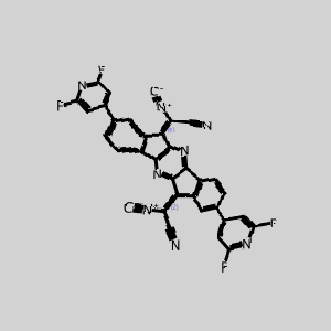 [C-]#[N+]/C(C#N)=C1/c2cc(-c3cc(F)nc(F)c3)ccc2-c2nc3c(nc21)-c1ccc(-c2cc(F)nc(F)c2)cc1/C3=C(/C#N)[N+]#[C-]